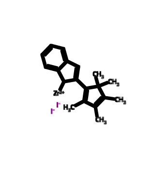 CC1=C(C)C(C)(C)C(C2=Cc3ccccc3[CH]2[Zr+2])=C1C.[I-].[I-]